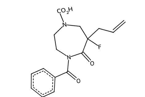 C=CCC1(F)CN(C(=O)O)CCN(C(=O)c2ccccc2)C1=O